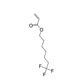 C=CC(=O)OCCCCCCC(F)(F)F